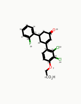 O=C(O)COc1ccc(C2=CC(=O)CC(c3ccccc3F)C2)c(Cl)c1Cl